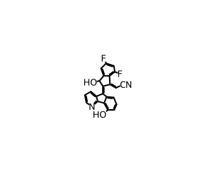 N#C/C=C1/C(=C2/c3cccnc3-c3c(O)cccc32)C(O)c2cc(F)cc(F)c21